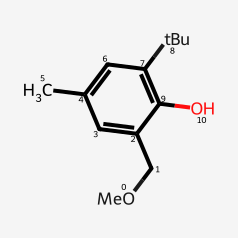 COCc1cc(C)cc(C(C)(C)C)c1O